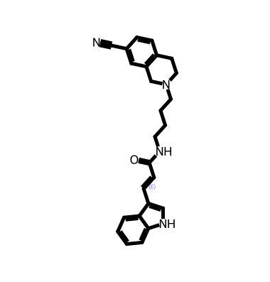 N#Cc1ccc2c(c1)CN(CCCCNC(=O)/C=C/c1c[nH]c3ccccc13)CC2